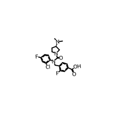 CN(C)[C@@H]1CCN(C(=O)N(Cc2ccc(C(=O)O)cc2F)c2ccc(F)cc2Cl)C1